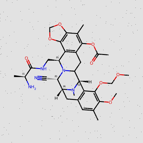 COCOc1c(OC)c(C)cc2c1[C@H]1C3Cc4c(OC(C)=O)c(C)c5c(c4[C@H](CNC(=O)[C@H](C)N)N3[C@@H](C#N)[C@@H](C2)N1C)OCO5